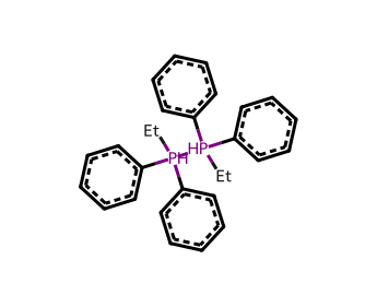 CC[PH](c1ccccc1)(c1ccccc1)[PH](CC)(c1ccccc1)c1ccccc1